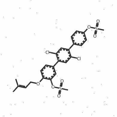 CC(C)=CCOc1ccc(-c2cc(Cl)c(-c3ccc(OS(C)(=O)=O)cc3)cc2Cl)cc1OS(C)(=O)=O